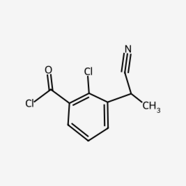 CC(C#N)c1cccc(C(=O)Cl)c1Cl